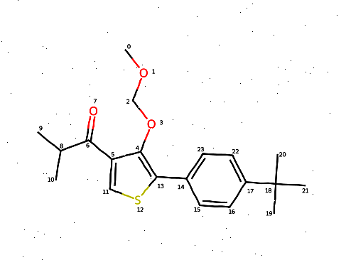 COCOc1c(C(=O)C(C)C)csc1-c1ccc(C(C)(C)C)cc1